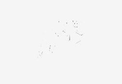 COC(O)[C@H](c1ccccc1Cl)N1CCC2SC(=O)C=C2C1